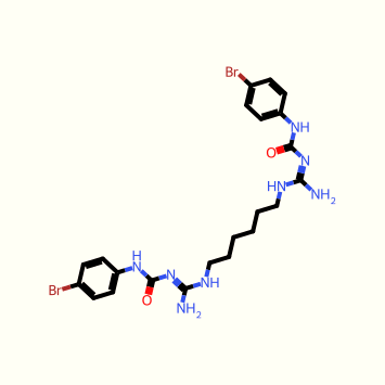 NC(=NC(=O)Nc1ccc(Br)cc1)NCCCCCCNC(N)=NC(=O)Nc1ccc(Br)cc1